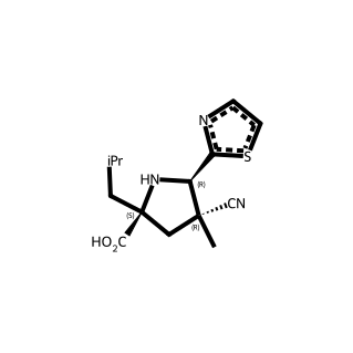 CC(C)C[C@@]1(C(=O)O)C[C@@](C)(C#N)[C@H](c2nccs2)N1